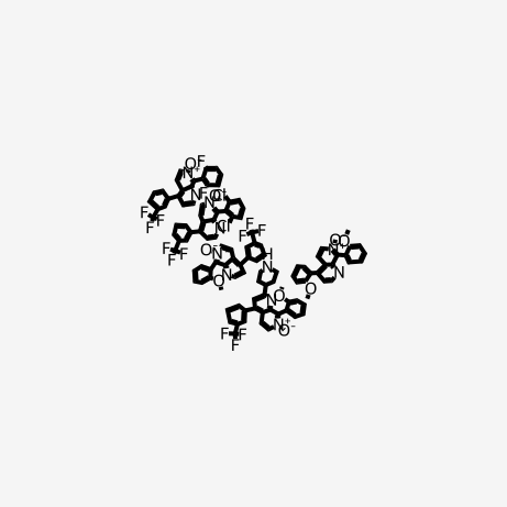 COc1ccccc1-c1c2nc(C3CCNCC3)cc(-c3cccc(C(F)(F)F)c3)c2cc[n+]1[O-].COc1ccccc1-c1c2nccc(-c3cccc(C(F)(F)F)c3)c2cc[n+]1[O-].COc1ccccc1-c1ccnc2c(-c3ccccc3OC)[n+]([O-])ccc12.[O-][n+]1ccc2c(-c3cccc(C(F)(F)F)c3)ccnc2c1-c1c(Cl)cccc1Cl.[O-][n+]1ccc2c(-c3cccc(C(F)(F)F)c3)ccnc2c1-c1c(F)cccc1F